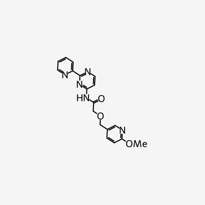 COc1ccc(COCC(=O)Nc2ccnc(-c3ccccn3)n2)cn1